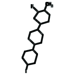 CC1CCC(C2CCC(C3CCC(I)CC3)CC2)CC1F